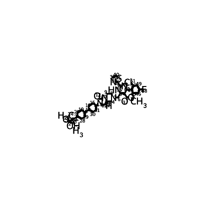 COC(=O)C1=C(CN2CCN3C(=O)N(c4ccc(-c5ccc(C(C)(C)C(=O)O)cc5)cc4)C[C@@H]3C2)NC(c2nccs2)=N[C@H]1c1ccc(F)cc1Cl